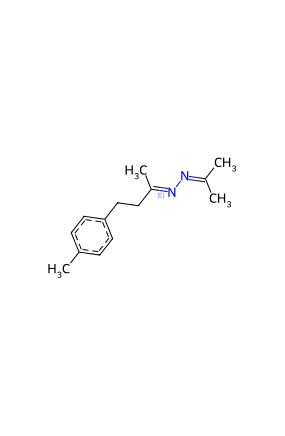 CC(C)=N/N=C(\C)CCc1ccc(C)cc1